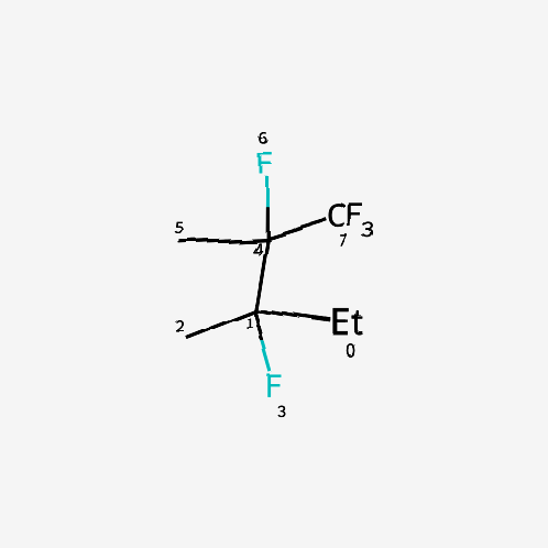 CCC(C)(F)C(C)(F)C(F)(F)F